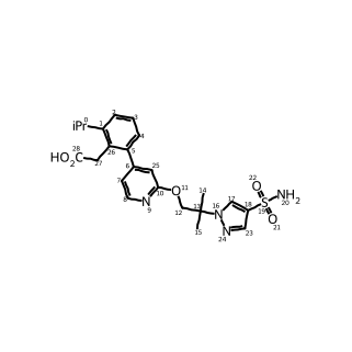 CC(C)c1cccc(-c2ccnc(OCC(C)(C)n3cc(S(N)(=O)=O)cn3)c2)c1CC(=O)O